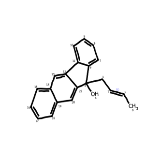 C/C=C/CC1(O)c2ccccc2-c2cc3ccccc3cc21